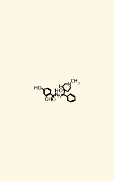 CN1CCC(O)(/C(=N\NC(=O)c2ccc(O)cc2O)c2ccccc2)CC1